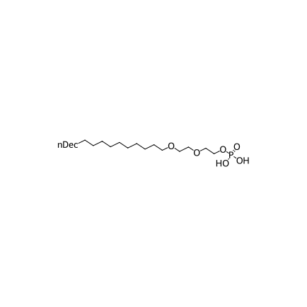 CCCCCCCCCCCCCCCCCCCCOCCOCCOP(=O)(O)O